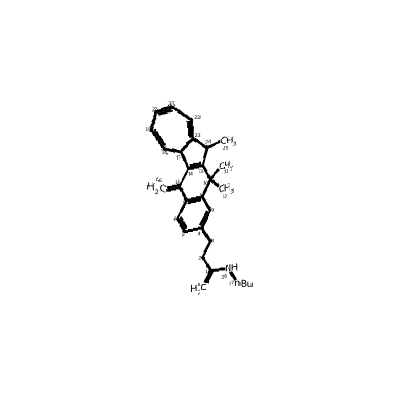 C=C(CCc1ccc2c(c1)C(C)(C)C1=C(C2=C)C2C=CC=CC=C2C1C)NCCCC